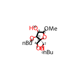 CCCCOC[C@@]1(CO)OC(OC)[C@H](O)[C@@H]1OCCCC